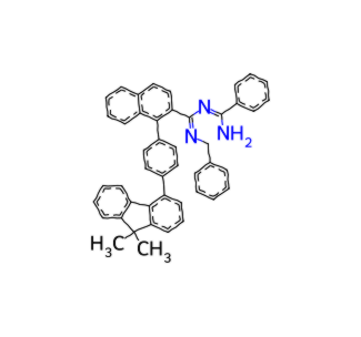 CC1(C)c2ccccc2-c2c(-c3ccc(-c4c(C(/N=C(\N)c5ccccc5)=N/Cc5ccccc5)ccc5ccccc45)cc3)cccc21